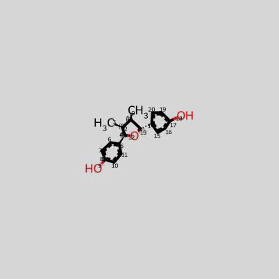 C[C@@H]1[C@H](C)[C@H](c2ccc(O)cc2)O[C@H]1c1ccc(O)cc1